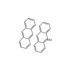 Cl.c1ccc2cc3ccccc3cc2c1.c1ccc2cc3ccccc3cc2c1